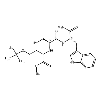 CNC(=O)[C@H](Cc1c[nH]c2ccccc12)NC(=O)[C@H](CC(C)C)NC(CCO[Si](C)(C)C(C)(C)C)C(=O)OC(C)(C)C